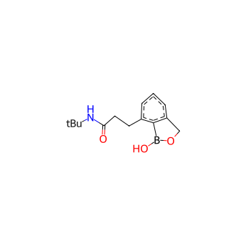 CC(C)(C)NC(=O)CCc1cccc2c1B(O)OC2